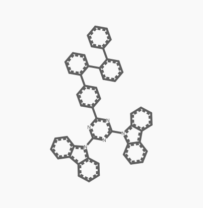 c1ccc(-c2ccccc2-c2ccccc2-c2ccc(-c3nc(-n4c5ccccc5c5ccccc54)nc(-n4c5ccccc5c5ccccc54)n3)cc2)cc1